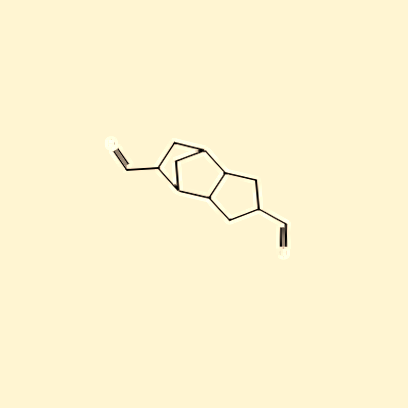 O=CC1CC2C3CC(C=O)C(C3)C2C1